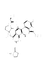 C=CC(=O)N1CCC(N(C)c2nc(OCC3CCCN3CC)nc3c(F)c(-c4ccc(F)c5sc(N)c(C#N)c45)c(Cl)cc23)C1C